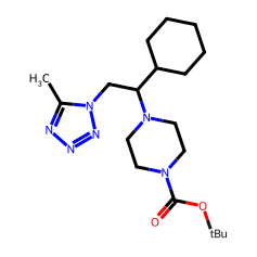 Cc1nnnn1CC(C1CCCCC1)N1CCN(C(=O)OC(C)(C)C)CC1